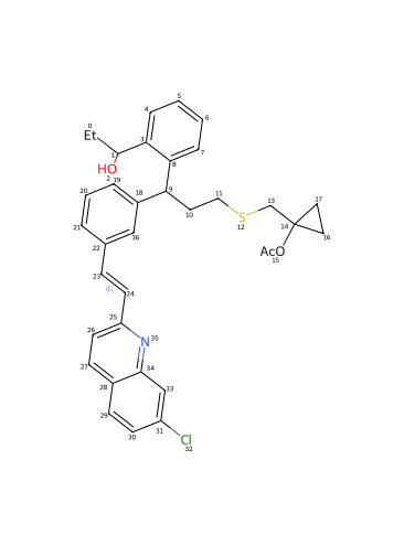 CCC(O)c1ccccc1C(CCSCC1(OC(C)=O)CC1)c1cccc(/C=C/c2ccc3ccc(Cl)cc3n2)c1